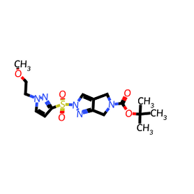 COCCn1ccc(S(=O)(=O)n2cc3c(n2)CN(C(=O)OC(C)(C)C)C3)n1